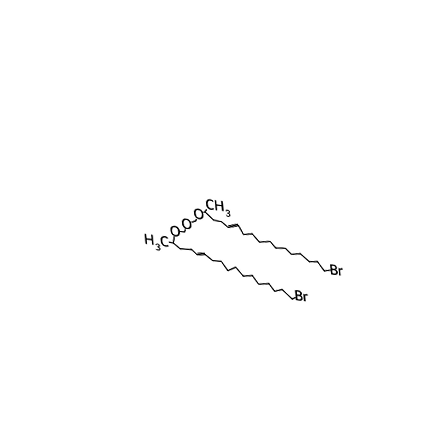 CC(CCC=CCCCCCCCCCCCBr)OCOCOC(C)CCC=CCCCCCCCCCCCBr